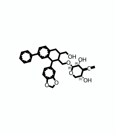 C=C=C1[C@H](O)CO[C@@H](OCC2C(CO)Cc3ccc(-c4ccccc4)cc3C2c2ccc3c(c2)OCO3)[C@@H]1O